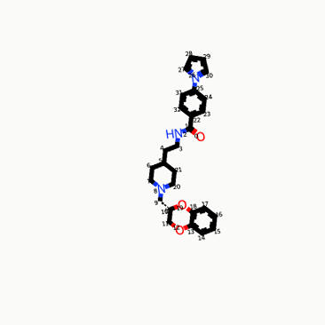 O=C(NCCC1CCN(C[C@H]2COc3ccccc3O2)CC1)c1ccc(-n2cccc2)cc1